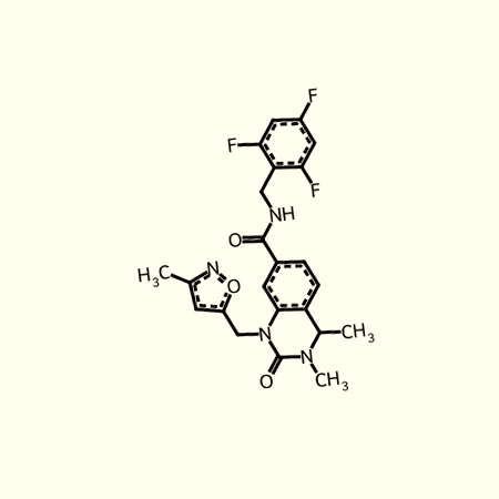 Cc1cc(CN2C(=O)N(C)C(C)c3ccc(C(=O)NCc4c(F)cc(F)cc4F)cc32)on1